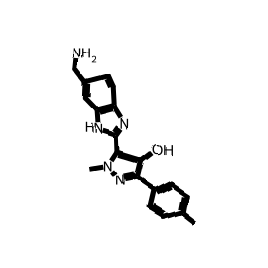 Cc1ccc(-c2nn(C)c(-c3nc4ccc(CN)cc4[nH]3)c2O)cc1